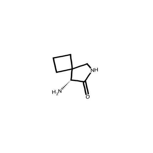 N[C@H]1C(=O)NCC12CCC2